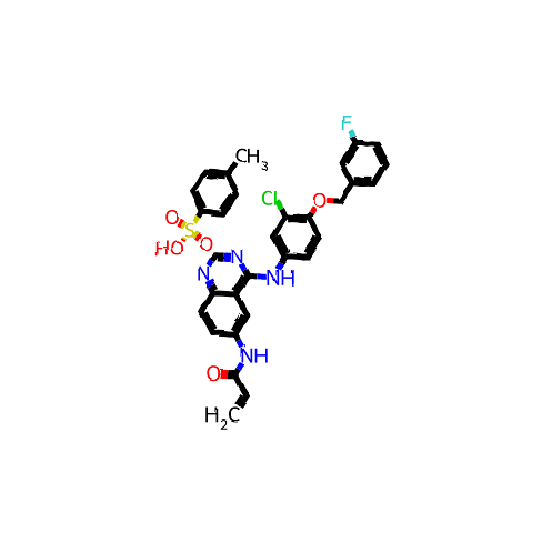 C=CC(=O)Nc1ccc2ncnc(Nc3ccc(OCc4cccc(F)c4)c(Cl)c3)c2c1.Cc1ccc(S(=O)(=O)O)cc1